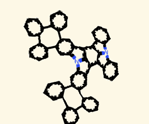 c1ccc2c(c1)-c1ccccc1-c1cc3c4c5c6ccccc6n6c7ccccc7c(c7c8cc9c(cc8n(c3cc1-c1ccccc1-2)c47)-c1ccccc1-c1ccccc1-c1ccccc1-9)c56